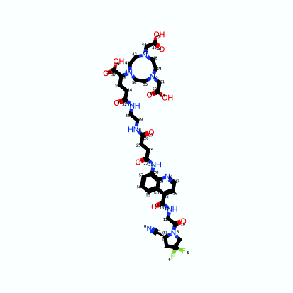 N#C[C@@H]1CC(F)(F)CN1C(=O)CNC(=O)c1ccnc2c(NC(=O)CCC(=O)NCCNC(=O)CCC(C(=O)O)N3CCN(CC(=O)O)CCN(CC(=O)O)CC3)cccc12